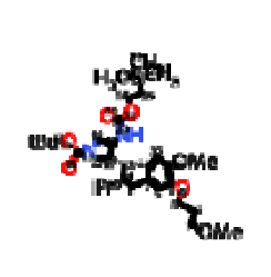 COCCCOc1cc(C[C@@H](C[C@@H]2CN(C(=O)OC(C)(C)C)C[C@H]2NC(=O)OCC[Si](C)(C)C)C(C)C)ccc1OC